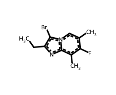 CCc1nc2c(C)c(F)c(C)cn2c1Br